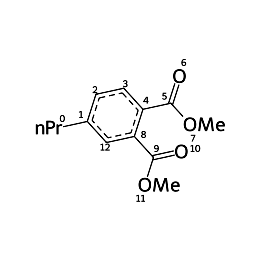 CCCc1ccc(C(=O)OC)c(C(=O)OC)c1